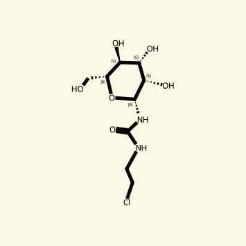 O=C(NCCCl)N[C@@H]1O[C@H](CO)[C@@H](O)[C@H](O)[C@@H]1O